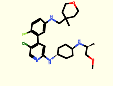 COC[C@@H](C)N[C@H]1CC[C@H](Nc2cc(-c3cc(NCC4(C)CCOCC4)ccc3F)c(Cl)cn2)CC1